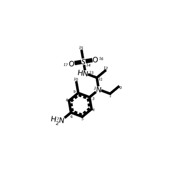 CCN(c1ccc(N)cc1C)C(C)NS(C)(=O)=O